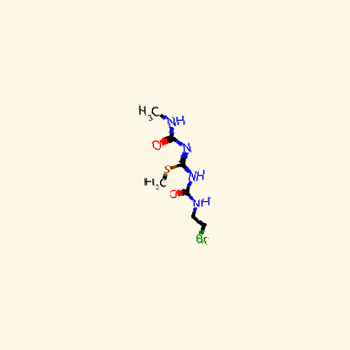 CNC(=O)N=C(NC(=O)NCCBr)SC